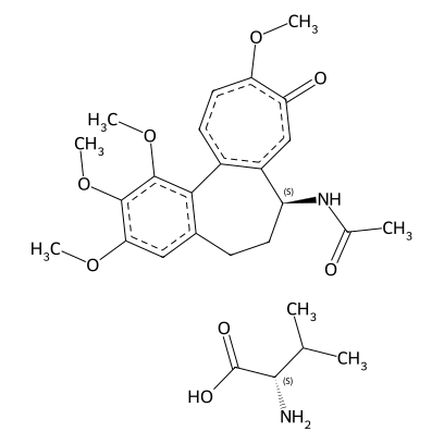 CC(C)[C@H](N)C(=O)O.COc1cc2c(c(OC)c1OC)-c1ccc(OC)c(=O)cc1[C@@H](NC(C)=O)CC2